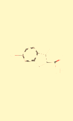 CC1c2ccc(Br)cc2CC1C(=O)O